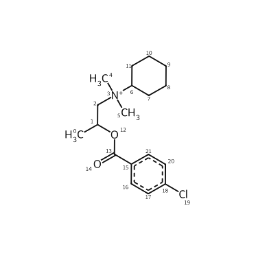 CC(C[N+](C)(C)C1CCCCC1)OC(=O)c1ccc(Cl)cc1